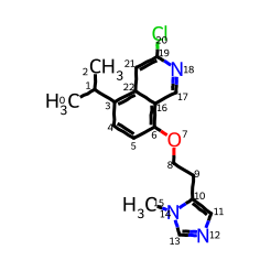 CC(C)c1ccc(OCCc2cncn2C)c2cnc(Cl)cc12